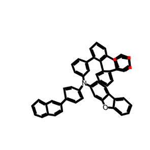 c1ccc(-c2ccccc2-c2c(-c3ccccc3)cccc2-c2cccc(N(c3ccc(-c4ccc5ccccc5c4)cc3)c3ccc4c(c3)oc3ccccc34)c2)cc1